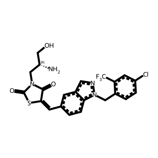 N[C@@H](CO)CN1C(=O)SC(=Cc2ccc3c(cnn3Cc3ccc(Cl)cc3C(F)(F)F)c2)C1=O